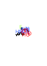 CC(C)c1ccc(C(NC(=O)C2CC(F)CN2C(=O)Cc2nnc(CNC(=O)O)o2)c2ccccc2)cc1